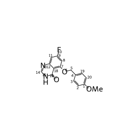 COc1ccc(COc2cc(F)cc3nc[nH]c(=O)c23)cc1